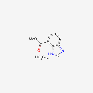 CC(=O)O.COC(=O)c1cccc2nc[nH]c12